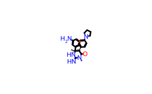 CN1C(=N)N[C@](C)(c2cccc(N)c2)[C@@H](c2ccc(N3CCCC3)cc2)C1=O